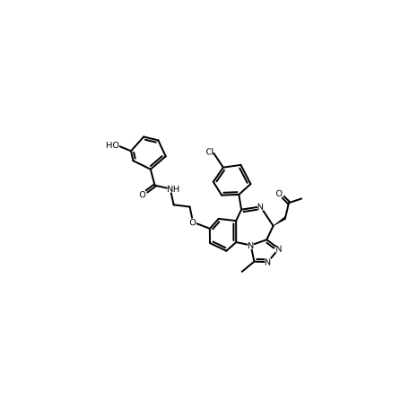 CC(=O)C[C@@H]1N=C(c2ccc(Cl)cc2)c2cc(OCCNC(=O)c3cccc(O)c3)ccc2-n2c(C)nnc21